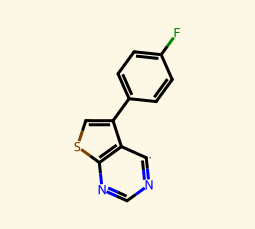 Fc1ccc(-c2csc3ncn[c]c23)cc1